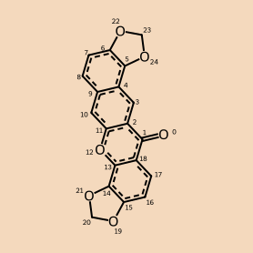 O=c1c2cc3c4c(ccc3cc2oc2c3c(ccc12)OCO3)OCO4